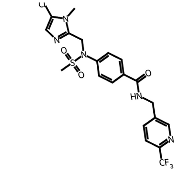 Cn1c(Cl)cnc1CN(c1ccc(C(=O)NCc2ccc(C(F)(F)F)nc2)cc1)S(C)(=O)=O